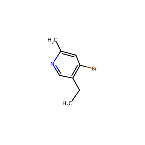 CCc1cnc(C)cc1Br